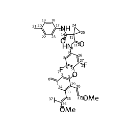 C=C/C=C(/Oc1c(F)cc(NC(=O)C2(C(=O)Nc3ccc(C)cc3)CC2)cc1F)C(/C=C/OC)=C(C)/C=C(\I)OC